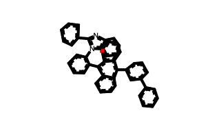 c1ccc(-c2cccc(-c3c4ccccc4c(-c4ccccc4-n4c(-c5ccccc5)nc5ccccc54)c4ccccc34)c2)cc1